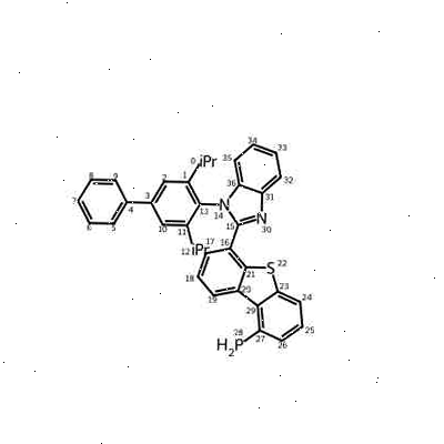 CC(C)c1cc(-c2ccccc2)cc(C(C)C)c1-n1c(-c2cccc3c2sc2cccc(P)c23)nc2ccccc21